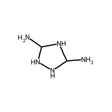 NC1NNC(N)N1